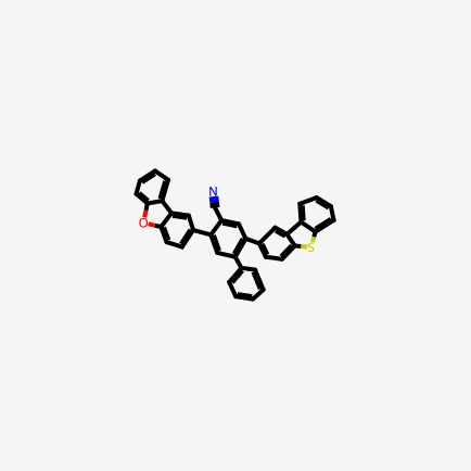 N#Cc1cc(-c2ccc3sc4ccccc4c3c2)c(-c2ccccc2)cc1-c1ccc2oc3ccccc3c2c1